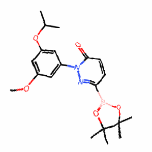 COc1cc(OC(C)C)cc(-n2nc(B3OC(C)(C)C(C)(C)O3)ccc2=O)c1